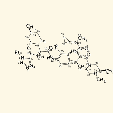 CCn1nnnc1C(=O)N[C@H](C(=O)Nc1ccc([C@H](C)[C@@H](NC(=O)N(C)C2CC2)C(=O)N2CCN(C)[C@H](C)C2)cc1F)[C@H]1CC[C@H](C)CC1